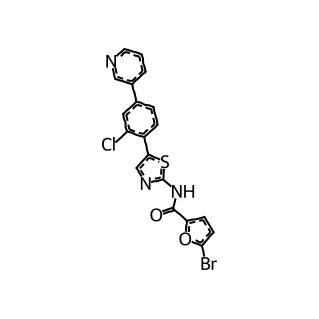 O=C(Nc1ncc(-c2ccc(-c3cccnc3)cc2Cl)s1)c1ccc(Br)o1